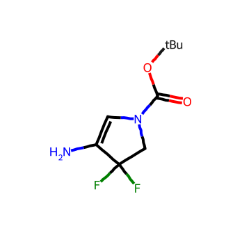 CC(C)(C)OC(=O)N1C=C(N)C(F)(F)C1